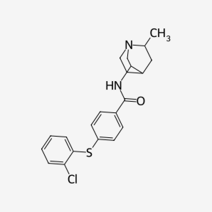 CC1CC2CCN1CC2NC(=O)c1ccc(Sc2ccccc2Cl)cc1